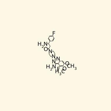 COc1cc2nc(N3CCN(C(=O)CC(N)c4ccc(F)cc4)CC3)nc(N)c2c(F)c1OC